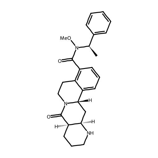 CON(C(=O)c1cccc2c1CCN1C(=O)[C@@H]3CCCN[C@@H]3C[C@@H]21)[C@H](C)c1ccccc1